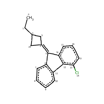 CCC1CC(=C2c3ccccc3-c3c(Cl)cccc32)C1